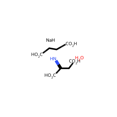 N=C(CC(=O)O)C(=O)O.O.O=C(O)CCC(=O)O.[NaH]